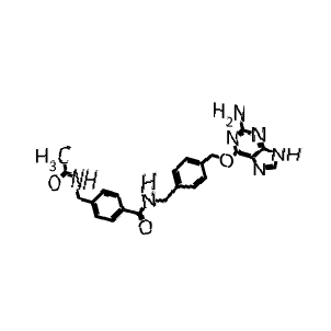 CC(=O)NCc1ccc(C(=O)NCc2ccc(COc3nc(N)nc4[nH]cnc34)cc2)cc1